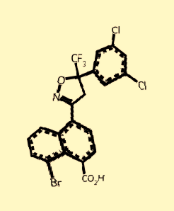 O=C(O)c1ccc(C2=NOC(c3cc(Cl)cc(Cl)c3)(C(F)(F)F)C2)c2cccc(Br)c12